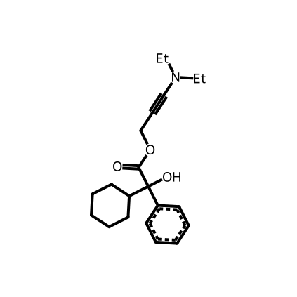 CCN(C#CCOC(=O)C(O)(c1ccccc1)C1CCCCC1)CC